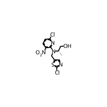 C[C@@H](CO)N(Cc1cnc(Cl)s1)c1nc(Cl)ccc1[N+](=O)[O-]